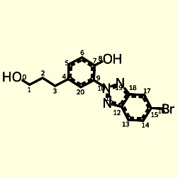 OCCCc1ccc(O)c(-n2nc3ccc(Br)cc3n2)c1